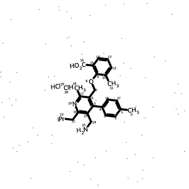 Cc1ccc(-c2c(COc3c(C)cccc3C(=O)O)c(C)nc(CC(C)C)c2CN)cc1.Cl.Cl